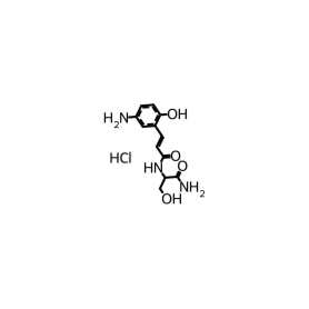 Cl.NC(=O)C(CO)NC(=O)C=Cc1cc(N)ccc1O